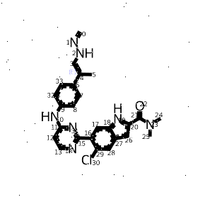 C=NN/C=C(\C)c1ccc(Nc2ccnc(-c3cc4[nH]c(C(=O)N(C)C)cc4cc3Cl)n2)cc1